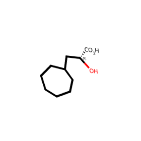 O=C(O)[C@H](O)CC1CCCCCC1